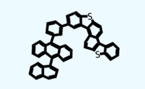 c1cc(-c2ccc3sc4ccc5c(ccc6sc7ccccc7c65)c4c3c2)cc(-c2c3ccccc3c(-c3cccc4ccccc34)c3ccccc23)c1